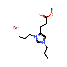 CCCn1cc(CCC(=O)OC)[n+](CCC)c1.[Br-]